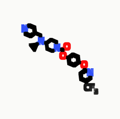 O=C(Oc1ccc(Oc2ccc(C(F)(F)F)cn2)cc1)N1CCC(N(Cc2ccncc2)C2CC2)CC1